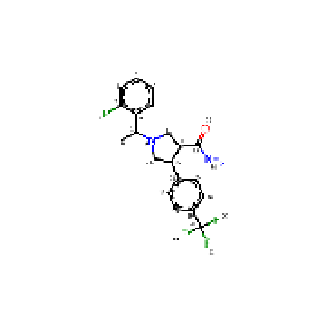 CC(c1ccccc1F)N1CC(C(N)=O)C(c2ccc(C(F)(F)F)cc2)C1